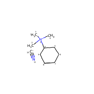 C[N+](C)(C)C1CCCCC1.[C-]#N